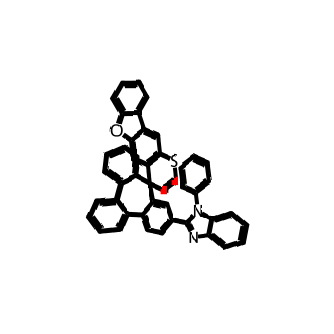 c1ccc(-n2c(-c3ccc4c(c3)C3(c5ccccc5Sc5cc6c(cc53)oc3ccccc36)c3ccccc3-c3ccccc3-4)nc3ccccc32)cc1